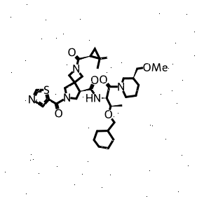 COC[C@H]1CCCN(C(=O)[C@@H](NC(=O)[C@H]2CN(C(=O)c3cncs3)CC23CN(C(=O)[C@H]2CC2(C)C)C3)[C@@H](C)OCC2CCCCC2)C1